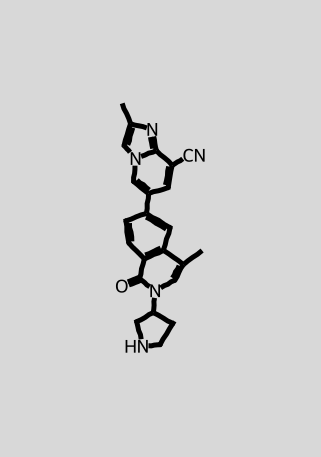 Cc1cn2cc(-c3ccc4c(=O)n(C5CCNC5)cc(C)c4c3)cc(C#N)c2n1